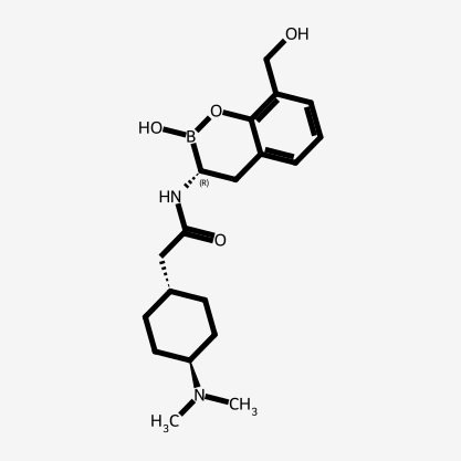 CN(C)[C@H]1CC[C@H](CC(=O)N[C@H]2Cc3cccc(CO)c3OB2O)CC1